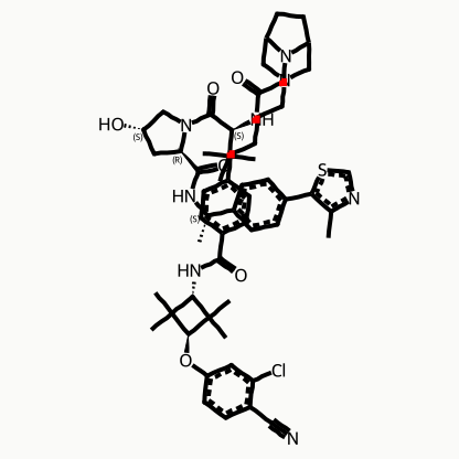 Cc1ncsc1-c1ccc([C@H](C)NC(=O)[C@H]2C[C@H](O)CN2C(=O)[C@@H](NC(=O)CN2C3CCC2CN(CCCCc2ccc(C(=O)N[C@H]4C(C)(C)[C@H](Oc5ccc(C#N)c(Cl)c5)C4(C)C)cc2)C3)C(C)(C)C)cc1